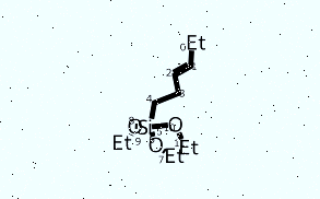 CCC=CCC[Si](OCC)(OCC)OCC